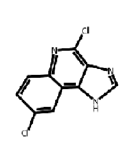 Clc1ccc2nc(Cl)c3nc[nH]c3c2c1